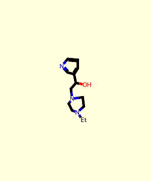 CCN1CCN(CC(O)c2cccnc2)CC1